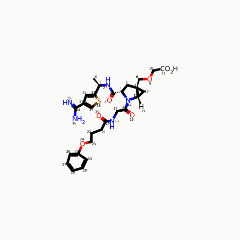 C[C@@H](NC(=O)[C@@H]1C[C@]2(COCC(=O)O)C[C@@H]2N1C(=O)CNC(=O)CCCOc1ccccc1)c1cc(C(=N)N)cs1